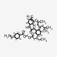 CCC(CC(=O)OCOC(=O)c1ccc(CN)cc1)c1ccc(N(CC(C)C)CC(C)C)c(NC(=O)Nc2ccc(C)cc2)c1